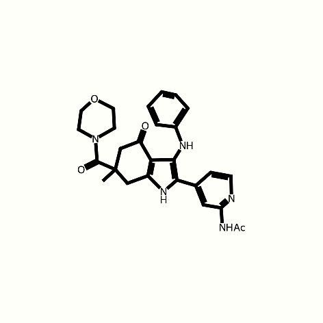 CC(=O)Nc1cc(-c2[nH]c3c(c2Nc2ccccc2)C(=O)CC(C)(C(=O)N2CCOCC2)C3)ccn1